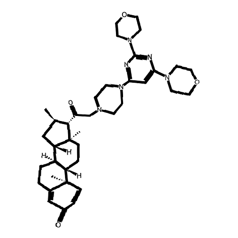 C[C@@H]1C[C@H]2[C@@H]3CCC4=CC(=O)C=C[C@]4(C)[C@H]3CC[C@]2(C)[C@H]1C(=O)CN1CCN(c2cc(N3CCOCC3)nc(N3CCOCC3)n2)CC1